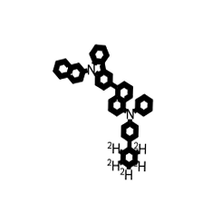 [2H]c1c([2H])c([2H])c(-c2ccc(N(c3ccccc3)c3cccc4c(-c5ccc6c(c5)c5ccccc5n6-c5ccc6ccccc6c5)cccc34)cc2)c([2H])c1[2H]